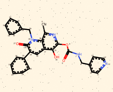 N#Cc1nc(OC(=O)NCc2ccncc2)c(O)c2cc(-c3ccccc3)c(=O)n(Cc3ccccc3)c12